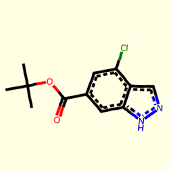 CC(C)(C)OC(=O)c1cc(Cl)c2cn[nH]c2c1